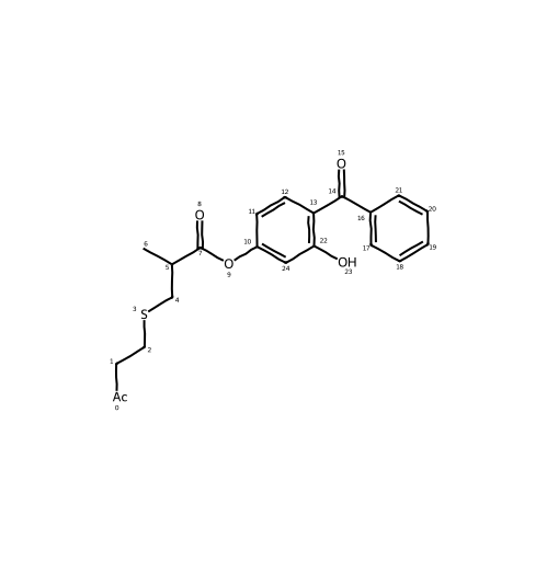 CC(=O)CCSCC(C)C(=O)Oc1ccc(C(=O)c2ccccc2)c(O)c1